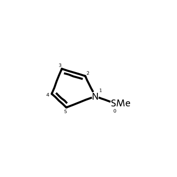 [CH2]Sn1cccc1